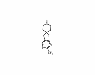 FC1(Cc2cnc(C(F)(F)F)nc2)CCNCC1